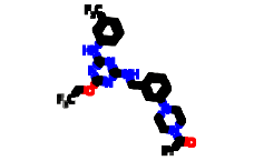 CC(C)C(=O)N1CCN(c2cccc(CNc3nc(Nc4cccc(C(F)(F)F)c4)nc(OCC(F)(F)F)n3)c2)CC1